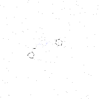 COc1cccc(C=CCN2CCN(CCc3ccc(C(=O)O)cc3)CC2)c1